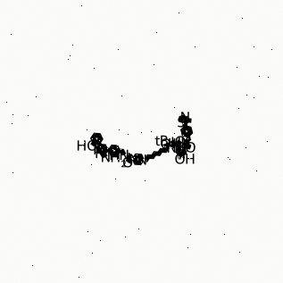 Cc1ncsc1-c1ccc(CNC(=O)[C@@H]2C[C@@H](O)CN2C(=O)C(NC(=O)CCCCCCCN2CCN(C(=O)CNCc3ccc(-c4cc(-c5ccccc5O)nnc4N)cc3)CC2)C(C)(C)C)cc1